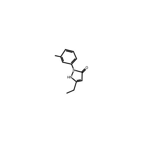 CCc1cc(=O)n(-c2cccc(C)c2)[nH]1